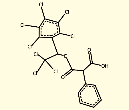 O=C(O)C(C(=O)OC(c1c(Cl)c(Cl)c(Cl)c(Cl)c1Cl)C(Cl)(Cl)Cl)c1ccccc1